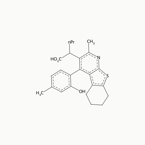 CCCC(C(=O)O)c1c(C)nc2sc3c(c2c1-c1ccc(C)cc1O)CCCC3